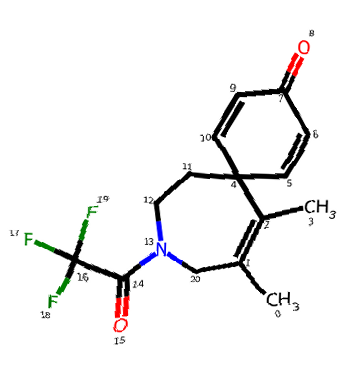 CC1=C(C)C2(C=CC(=O)C=C2)CCN(C(=O)C(F)(F)F)C1